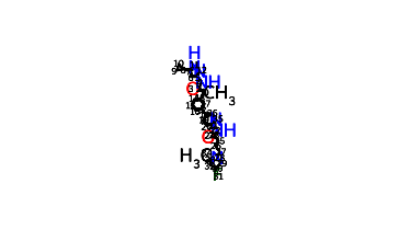 CC(C(=O)Nc1cc(C2CC2)[nH]n1)c1cccc(-c2ccc(NC(=O)/C=C/CN3C[C@@H](F)C[C@H]3C)nc2)c1